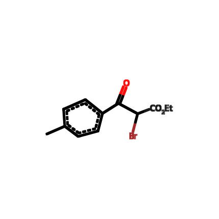 CCOC(=O)C(Br)C(=O)c1ccc(C)cc1